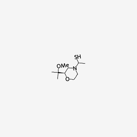 COC(C)(C)[C@H]1CN(C(C)S)CCO1